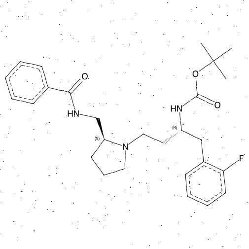 CC(C)(C)OC(=O)N[C@@H](CCN1CCC[C@H]1CNC(=O)c1ccccc1)Cc1ccccc1F